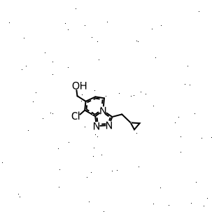 OCc1ccn2c(CC3CC3)nnc2c1Cl